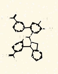 COc1cc(C2Nc3ccc(C(=N)N)cc3C3c4ccccc4CC23)c(-c2cccc(C(N)=O)c2)cc1O